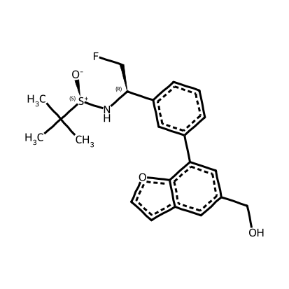 CC(C)(C)[S@@+]([O-])N[C@@H](CF)c1cccc(-c2cc(CO)cc3ccoc23)c1